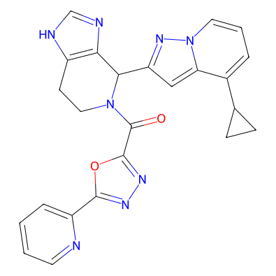 O=C(c1nnc(-c2ccccn2)o1)N1CCc2[nH]cnc2C1c1cc2c(C3CC3)cccn2n1